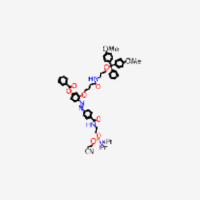 COc1ccc(C(OCCCNC(=O)CCCOc2cc(OC(=O)c3ccccc3)ccc2/N=N/c2ccc(C(=O)NCCOP(OCCC#N)N(C(C)C)C(C)C)cc2)(c2ccccc2)c2ccc(OC)cc2)cc1